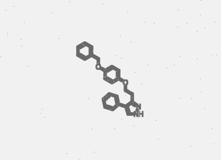 c1ccc(COc2ccc(OCCc3n[nH]cc3-c3ccccc3)cc2)cc1